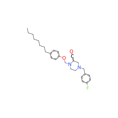 CCCCCCCCc1ccc(OCN2CCN(Cc3ccc(F)cc3)CC2=C=O)cc1